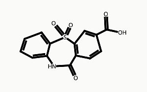 O=C(O)c1ccc2c(c1)S(=O)(=O)c1ccccc1NC2=O